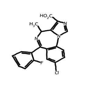 CC1N=C(c2ccccc2F)c2cc(Cl)ccc2-n2cnc(C(=O)O)c21